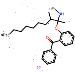 CCCCCCCCCCCCCCCCC(C)C(C)(NCCC)Oc1ccccc1C(=O)c1ccccc1.I